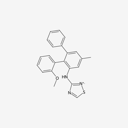 COc1ccccc1-c1c(NC2=[N+]SC=N2)cc(C)cc1-c1ccccc1